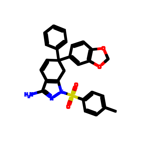 Cc1ccc(S(=O)(=O)n2nc(N)c3c2CC(c2ccccc2)(c2ccc4c(c2)OCO4)C=C3)cc1